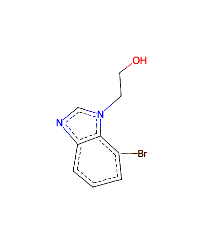 OCCn1cnc2cccc(Br)c21